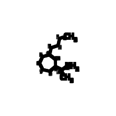 CCCCC1CCCCC(C(C)N)C1